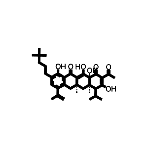 C=C(C)c1cc(CCCC(C)(C)C)c(O)c2c1C[C@]1(C)C[C@]3(C)C(C(C)C)C(O)=C(C(C)=O)C(=O)[C@]3(O)C(O)=C1C2=O